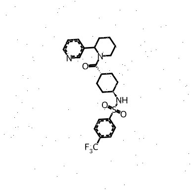 O=C([C@H]1CC[C@H](NS(=O)(=O)c2ccc(C(F)(F)F)cc2)CC1)N1CCCCC1c1cccnc1